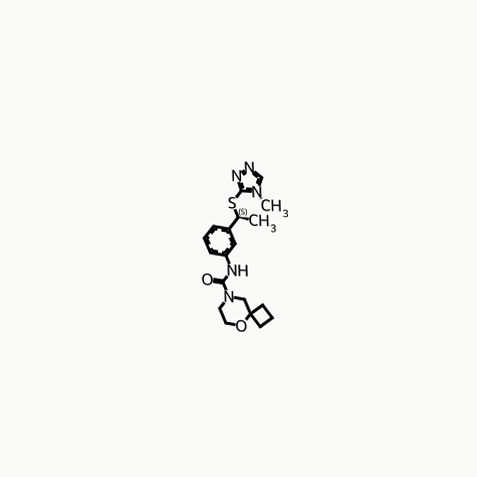 C[C@H](Sc1nncn1C)c1cccc(NC(=O)N2CCOC3(CCC3)C2)c1